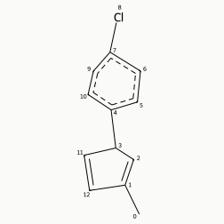 CC1=CC(c2ccc(Cl)cc2)C=C1